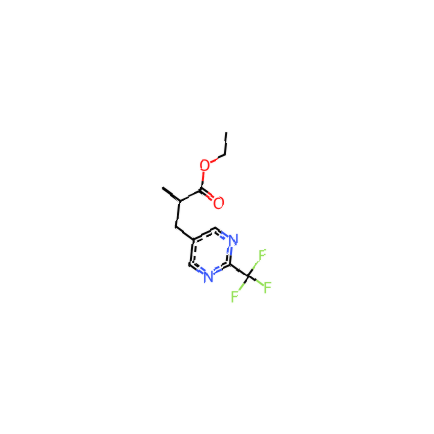 CCOC(=O)C(C)Cc1cnc(C(F)(F)F)nc1